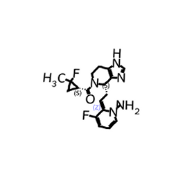 CC1(F)C[C@H]1C(=O)N1CCc2[nH]cnc2[C@@H]1C/C=C1/C(F)=CC=CN1N